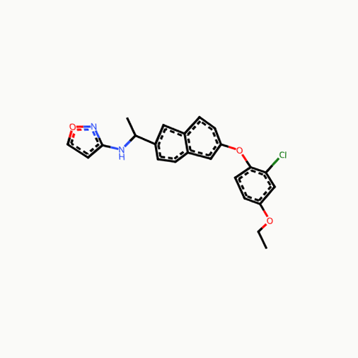 CCOc1ccc(Oc2ccc3cc(C(C)Nc4ccon4)ccc3c2)c(Cl)c1